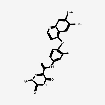 COc1cc2nccc(Oc3ccc(NC(=O)c4nn(C)c(=O)[nH]c4=O)cc3F)c2cc1OC